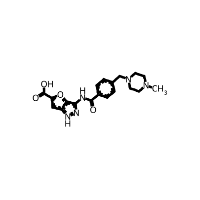 CN1CCN(Cc2ccc(C(=O)Nc3n[nH]c4cc(C(=O)O)oc34)cc2)CC1